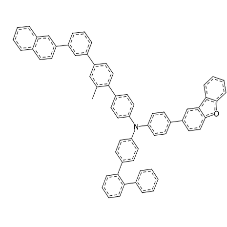 Cc1cc(-c2cccc(-c3ccc4ccccc4c3)c2)ccc1-c1ccc(N(c2ccc(-c3ccc4oc5ccccc5c4c3)cc2)c2ccc(-c3ccccc3-c3ccccc3)cc2)cc1